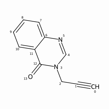 C#CCn1cnc2ccccc2c1=O